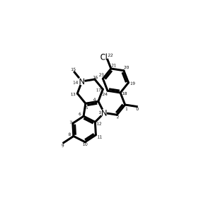 C/C(=C/n1c2c(c3cc(C)ccc31)CN(C)CC2)c1ccc(Cl)cc1